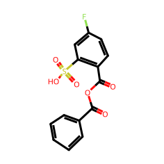 O=C(OC(=O)c1ccc(F)cc1S(=O)(=O)O)c1ccccc1